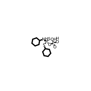 O=P(O)(O)OP(S)(=NC1CCCCC1)SC1CCCCC1